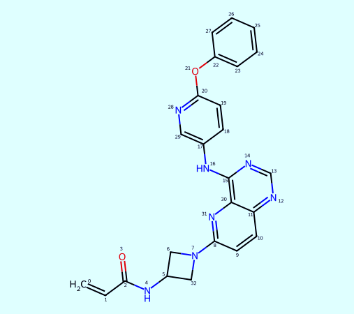 C=CC(=O)NC1CN(c2ccc3ncnc(Nc4ccc(Oc5ccccc5)nc4)c3n2)C1